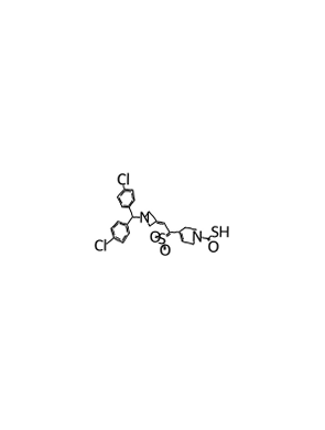 O=C(S)N1CC=C(C(C=C2CN(C(c3ccc(Cl)cc3)c3ccc(Cl)cc3)C2)=S(=O)=O)CC1